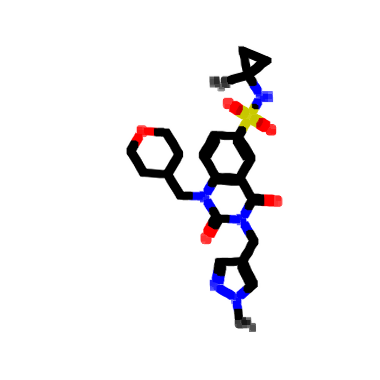 Cn1cc(Cn2c(=O)c3cc(S(=O)(=O)NC4(C)CC4)ccc3n(CC3CCOCC3)c2=O)cn1